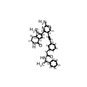 C[C@@H](NC(=O)Cc1cccc(C#Cc2cnc(N)nc2-c2cc3c(n2C)CCNC3=O)c1)c1ccccc1